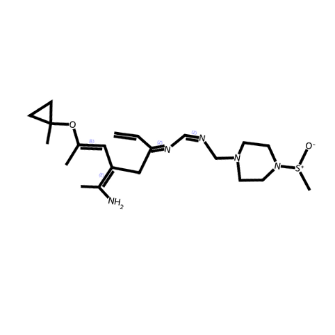 C=C/C(CC(/C=C(\C)OC1(C)CC1)=C(/C)N)=N\C=N/CN1CCN([S+](C)[O-])CC1